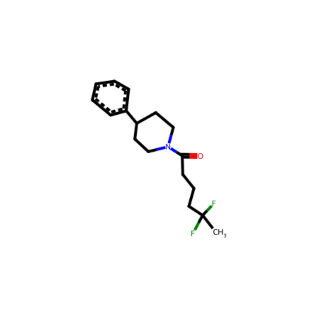 CC(F)(F)CCCC(=O)N1CCC(c2ccccc2)CC1